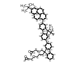 CC(C)(C)c1cc2ccc3ccc(-c4ccc5c(c4)C(C)(C(F)(F)F)c4cc(-c6ccc7c(c6)C(CCCOCC6CO6)(COCC6CO6)c6ccccc6-7)ccc4-5)c4ccc(c1)c2c34